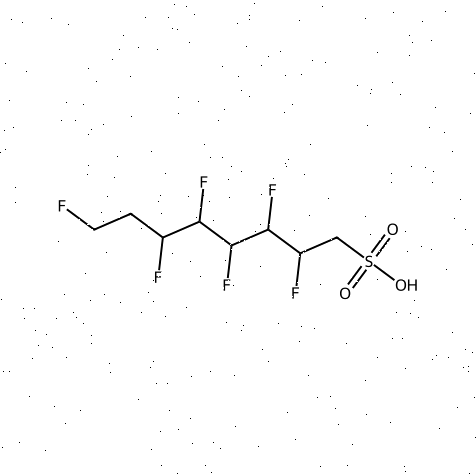 O=S(=O)(O)CC(F)C(F)C(F)C(F)C(F)CCF